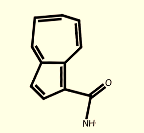 [NH]C(=O)c1ccc2cccccc1-2